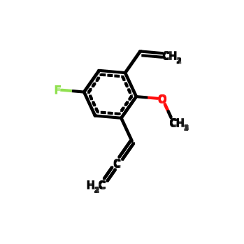 C=C=Cc1cc(F)cc(C=C)c1OC